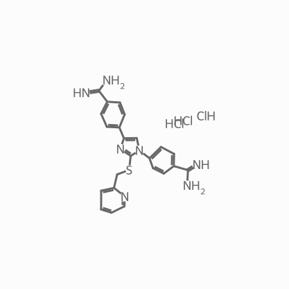 Cl.Cl.Cl.N=C(N)c1ccc(-c2cn(-c3ccc(C(=N)N)cc3)c(SCc3ccccn3)n2)cc1